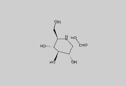 O=CO.OC[C@H]1NC[C@H](O)[C@@H](O)[C@@H]1O